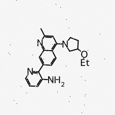 CCOC1CCN(c2cc(C)nc3cc(-c4ncccc4N)ccc23)C1